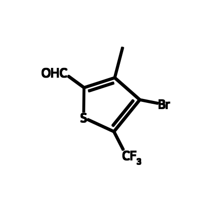 Cc1c(C=O)sc(C(F)(F)F)c1Br